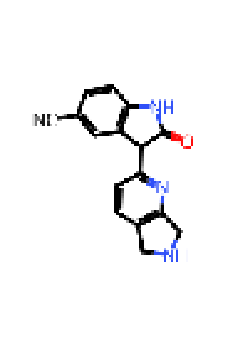 N#Cc1ccc2c(c1)C(c1ccc3c(n1)CNC3)C(=O)N2